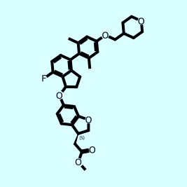 COC(=O)C[C@@H]1COc2cc(OC3CCc4c(-c5c(C)cc(OCC6CCOCC6)cc5C)ccc(F)c43)ccc21